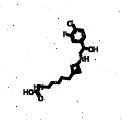 O=C(O)NCCCCCC12CC(NCC(O)c3ccc(Cl)c(F)c3)(C1)C2